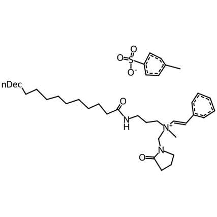 CCCCCCCCCCCCCCCCCCCC(=O)NCCC[N+](C)(C=Cc1ccccc1)CN1CCCC1=O.Cc1ccc(S(=O)(=O)[O-])cc1